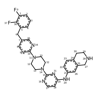 Fc1cccc(Cc2cnc(N3CCN(c4nccc(Nc5ccc6c(c5)CNCC6)n4)CC3)nc2)c1F